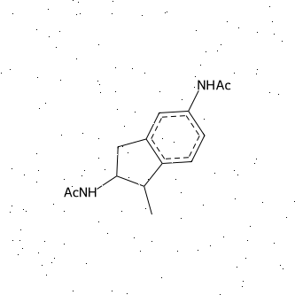 CC(=O)Nc1ccc2c(c1)CC(NC(C)=O)C2C